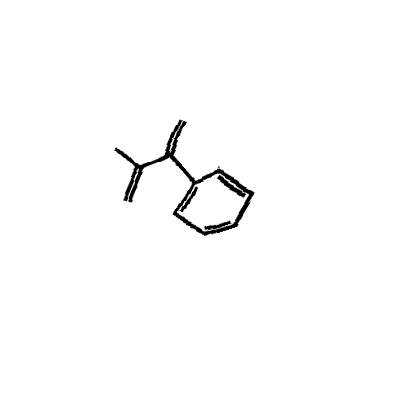 C=C(C)C(=C)c1[c]cccc1